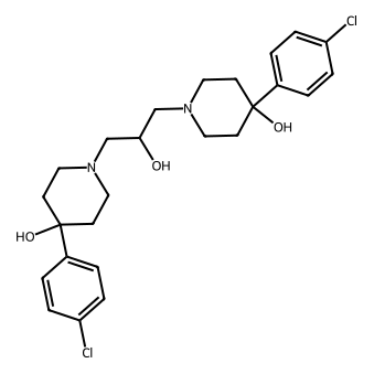 OC(CN1CCC(O)(c2ccc(Cl)cc2)CC1)CN1CCC(O)(c2ccc(Cl)cc2)CC1